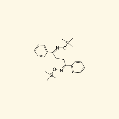 C[Si](C)(C)ON=C(CCC(=NO[Si](C)(C)C)c1ccccc1)c1ccccc1